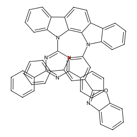 c1ccc(-c2cc(-c3nc4ccccc4o3)cc(-n3c4ccccc4c4ccc5c6ccccc6n(-c6nc(-c7ccccc7)nc(-c7ccccc7)n6)c5c43)c2)cc1